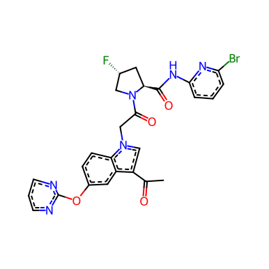 CC(=O)c1cn(CC(=O)N2C[C@H](F)C[C@H]2C(=O)Nc2cccc(Br)n2)c2ccc(Oc3ncccn3)cc12